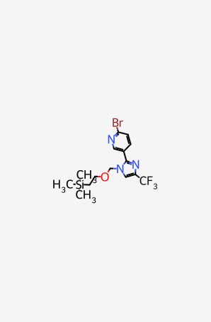 C[Si](C)(C)CCOCn1cc(C(F)(F)F)nc1-c1ccc(Br)nc1